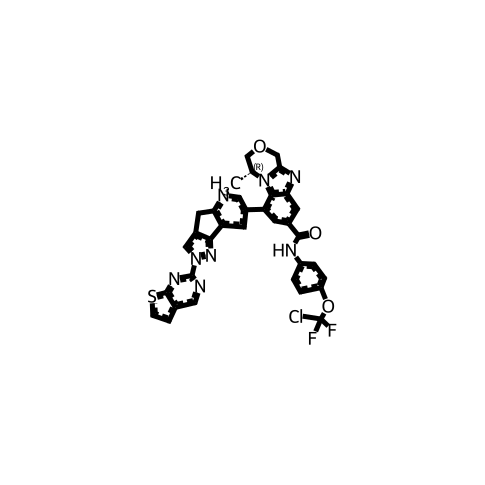 C[C@@H]1COCc2nc3cc(C(=O)Nc4ccc(OC(F)(F)Cl)cc4)cc(-c4cnc5c(c4)-c4nn(-c6ncc7ccsc7n6)cc4C5)c3n21